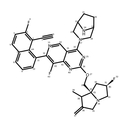 C#Cc1c(F)ccc2cccc(-c3ncc4c(N5CC6CCC(C5)N6)nc(OC[C@@]56C[C@@H](F)CN5CC(=C)C6C)nc4c3F)c12